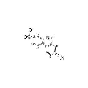 N#Cc1ccc(-c2ccc(C(=O)[O-])cc2)cc1.[Na+]